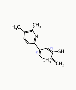 C=C/C(S)=C\C(=C/C)c1ccc(C)c(C)n1